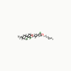 C=CCCCOc1ccc(-c2ccc(COc3ccc(-c4ccc(C)cc4)c(F)c3F)cc2)cc1F